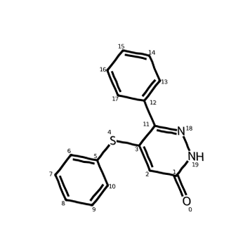 O=c1cc(Sc2ccccc2)c(-c2ccccc2)n[nH]1